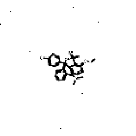 CCOc1cccc2c1C(C)(O)OC2(c1ccc(Cl)cc1)c1ccccc1CN(C)C